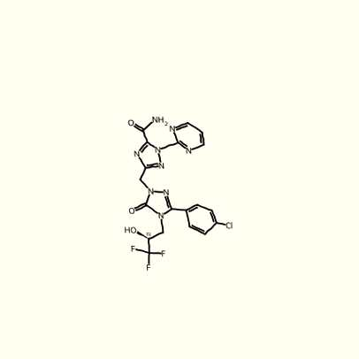 NC(=O)c1nc(Cn2nc(-c3ccc(Cl)cc3)n(C[C@H](O)C(F)(F)F)c2=O)nn1-c1ncccn1